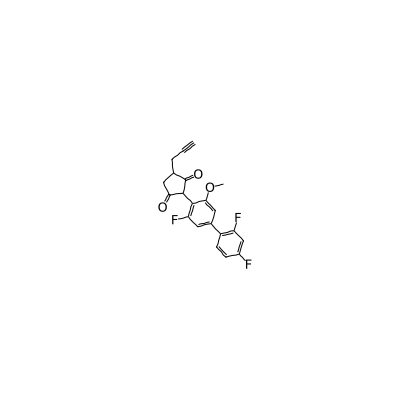 C#CCC1CC(=O)C(c2c(F)cc(-c3ccc(F)cc3F)cc2OC)C1=O